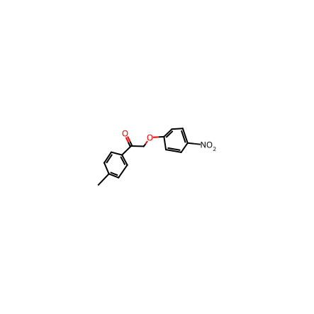 Cc1ccc(C(=O)COc2ccc([N+](=O)[O-])cc2)cc1